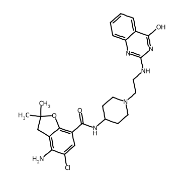 CC1(C)Cc2c(N)c(Cl)cc(C(=O)NC3CCN(CCNc4nc(O)c5ccccc5n4)CC3)c2O1